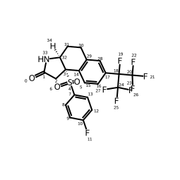 O=C1C[C@]2(S(=O)(=O)c3ccc(F)cc3)c3ccc(C(F)(C(F)(F)F)C(F)(F)F)cc3CC[C@@H]2N1